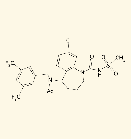 CC(=O)N(Cc1cc(C(F)(F)F)cc(C(F)(F)F)c1)C1CCCN(C(=O)NS(C)(=O)=O)c2cc(Cl)ccc21